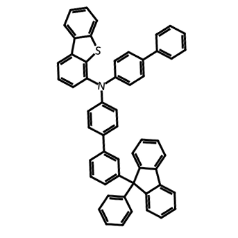 c1ccc(-c2ccc(N(c3ccc(-c4cccc(C5(c6ccccc6)c6ccccc6-c6ccccc65)c4)cc3)c3cccc4c3sc3ccccc34)cc2)cc1